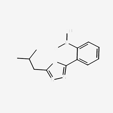 CC(C)Cc1nnc(-c2ccccc2B(O)O)o1